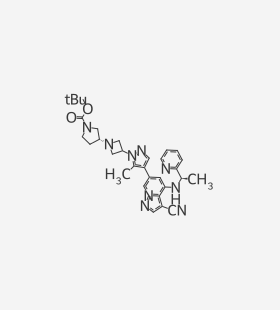 Cc1c(-c2cc(N[C@H](C)c3ccccn3)c3c(C#N)cnn3c2)cnn1C1CN([C@@H]2CCN(C(=O)OC(C)(C)C)C2)C1